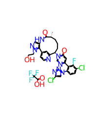 C[C@@H]1CCC[C@H](n2cnc(-c3c(-n4cc(Cl)nn4)ccc(Cl)c3F)cc2=O)c2cc(ccn2)-c2c(cnn2CCO)NC1=O.O=C(O)C(F)(F)F